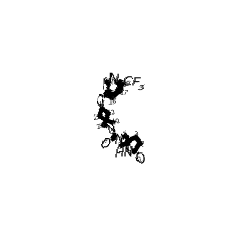 O=C1CCC2(CN(C(=O)N3CC4(CC(Oc5ccc(C(F)(F)F)nn5)C4)C3)C2)N1